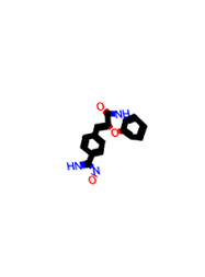 N=C(N=O)c1ccc(/C=C2\Oc3ccccc3NC2=O)cc1